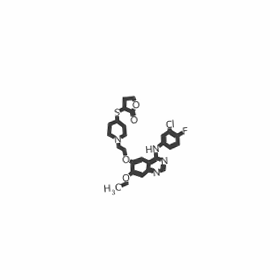 CCOc1cc2ncnc(Nc3ccc(F)c(Cl)c3)c2cc1OCCN1CCC(SC2CCOC2=O)CC1